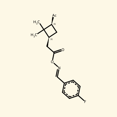 CC(=O)[C@H]1C[C@@H](CC(=O)ON=Cc2ccc(F)cc2)C1(C)C